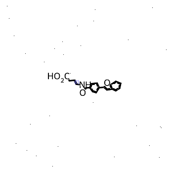 O=C(O)C/C=C/NC(=O)c1ccc(-c2cc3ccccc3o2)cc1